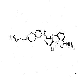 CNC(=O)c1cccc(F)c1Nc1nc(Nc2ccc3c(c2)CCN(CCOC)CC3)ncc1Cl